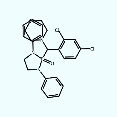 O=P1(C(c2ccc(Cl)cc2Cl)N2CCSCC2)N(c2ccccc2)CCN1c1ccccc1